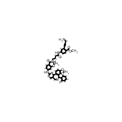 COC(=O)c1ccc(NC(=O)CCCNC(=O)c2ccc(Nc3ncc4c(n3)-c3ccc(Cl)cc3C(c3c(F)cccc3OC)=NC4)cc2OC)cc1C#CCN